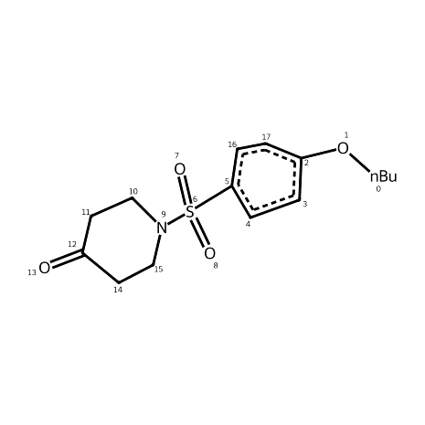 CCCCOc1ccc(S(=O)(=O)N2CCC(=O)CC2)cc1